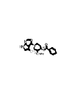 COC1CN(c2ncnc3[nH]cc(C)c23)CCC1NC(=O)c1ccccc1